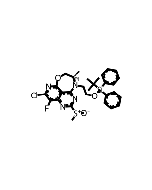 C[C@@H]1COc2nc(Cl)c(F)c3nc([S+](C)[O-])nc(c23)N1CCO[Si](c1ccccc1)(c1ccccc1)C(C)(C)C